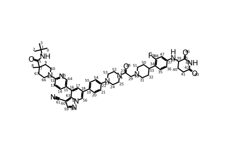 CC(C)(C)NC(=O)C1(C)CCN(c2ccc(-c3cc(-c4ccc(N5CCN(C(=O)CN6CCC(c7ccc(NC8CCC(=O)NC8=O)cc7F)CC6)CC5)cc4)cn4ncc(C#N)c34)cn2)CC1